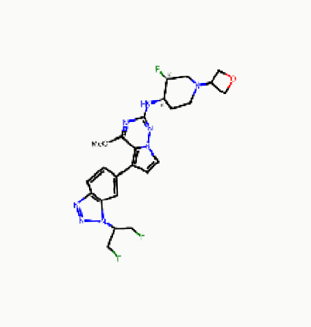 COc1nc(N[C@@H]2CCN(C3COC3)C[C@@H]2F)nn2ccc(-c3ccc4nnn(C(CF)CF)c4c3)c12